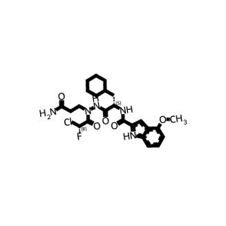 COc1cccc2[nH]c(C(=O)N[C@@H](CC3CCCCC3)C(=O)NN(CCC(N)=O)C(=O)[C@H](F)Cl)cc12